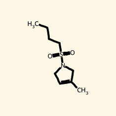 CCCCS(=O)(=O)N1CC=C(C)C1